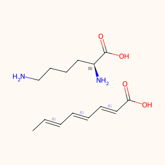 C/C=C/C=C/C=C/C(=O)O.NCCCC[C@H](N)C(=O)O